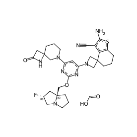 N#Cc1c(N)sc2c1C1(CCC2)CN(c2cc(N3CCCC4(CC(=O)N4)C3)nc(OC[C@@]34CCCN3C[C@H](F)C4)n2)C1.O=CO